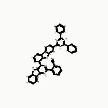 N#Cc1ccccc1-c1nc(-c2cccc3c2sc2cc(-c4nc(-c5ccccc5)nc(-c5ccccc5)n4)ccc23)c2sc3ccccc3c2n1